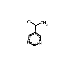 CC(Cl)c1cncnc1